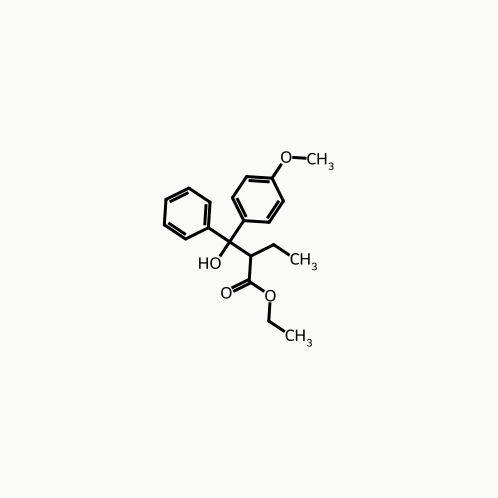 CCOC(=O)C(CC)C(O)(c1ccccc1)c1ccc(OC)cc1